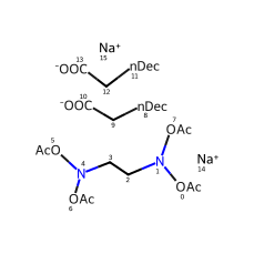 CC(=O)ON(CCN(OC(C)=O)OC(C)=O)OC(C)=O.CCCCCCCCCCCC(=O)[O-].CCCCCCCCCCCC(=O)[O-].[Na+].[Na+]